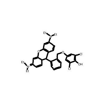 CCN(CC)c1ccc2c(c1)OC1=CC(=[N+](CC)CC)C=CC1C2c1ccccc1COc1cc(Cl)c(O)c(Cl)c1